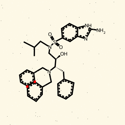 CC(C)CN(C[C@@H](O)[C@H](Cc1ccccc1)N(Cc1ccccc1)Cc1ccccc1)S(=O)(=O)c1ccc2[nH]c(N)nc2c1